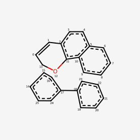 C1=Cc2ccc3ccccc3c2OC1.c1ccc(-c2ccccc2)cc1